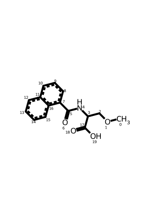 COCC(NC(=O)c1cccc2ccccc12)C(=O)O